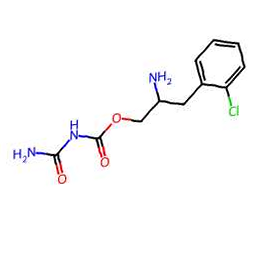 NC(=O)NC(=O)OCC(N)Cc1ccccc1Cl